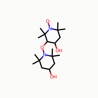 CC1(C)CC(O)CC(C)(C)N1OC1C(O)CC(C)(C)N([O])C1(C)C